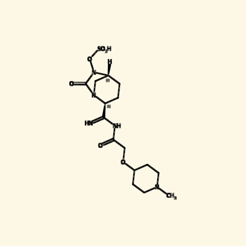 CN1CCC(OCC(=O)NC(=N)[C@@H]2CC[C@@H]3CN2C(=O)N3OS(=O)(=O)O)CC1